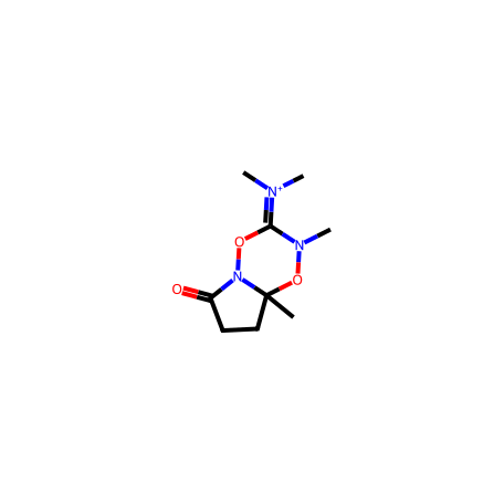 CN1OC2(C)CCC(=O)N2OC1=[N+](C)C